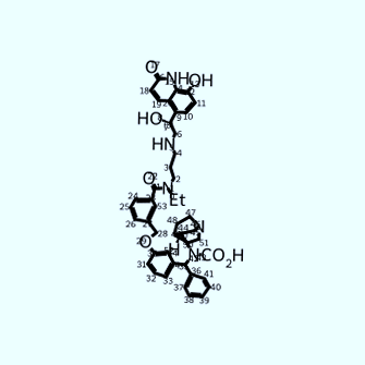 CCN(CCCNC[C@@H](O)c1ccc(O)c2[nH]c(=O)ccc12)C(=O)c1cccc(COc2cccc(C(c3ccccc3)N(C(=O)O)[C@H]3CN4CCC3CC4)c2)c1